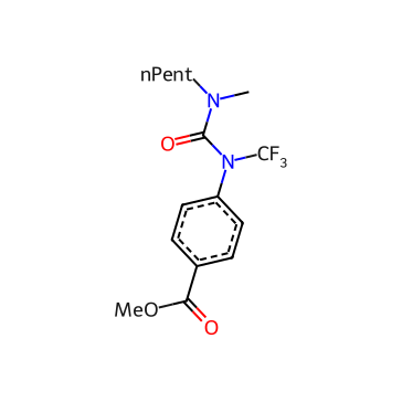 CCCCCN(C)C(=O)N(c1ccc(C(=O)OC)cc1)C(F)(F)F